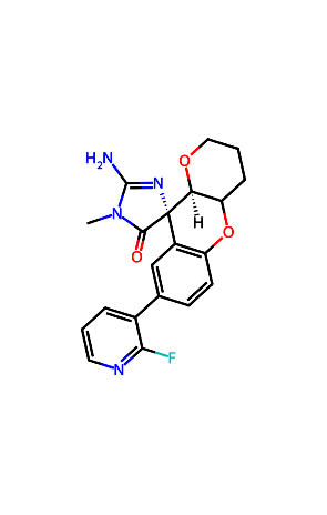 CN1C(=O)[C@]2(N=C1N)c1cc(-c3cccnc3F)ccc1OC1CCCO[C@@H]12